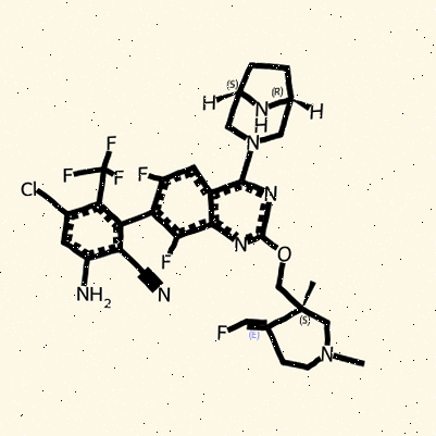 CN1CC/C(=C\F)[C@](C)(COc2nc(N3C[C@H]4CC[C@@H](C3)N4)c3cc(F)c(-c4c(C#N)c(N)cc(Cl)c4C(F)(F)F)c(F)c3n2)C1